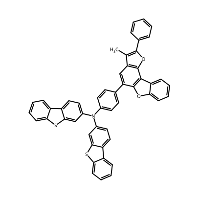 Cc1c(-c2ccccc2)oc2c1cc(-c1ccc(N(c3ccc4c(c3)sc3ccccc34)c3ccc4c(c3)sc3ccccc34)cc1)c1oc3ccccc3c12